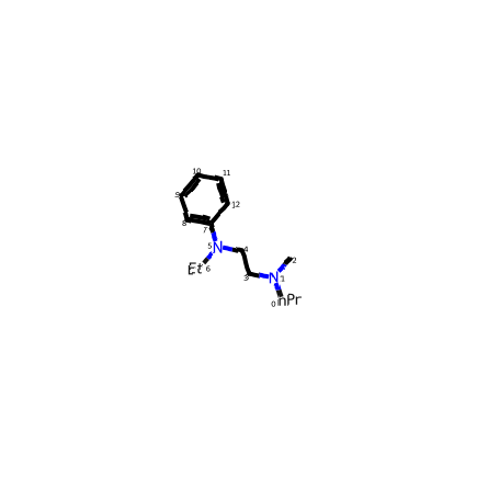 CCCN(C)CCN(CC)c1ccccc1